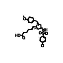 COc1ccc(CN2C[C@H](NS(=O)(=O)c3ccc(Cl)cc3)C[C@H]2C=CCCCC(=O)O)cc1